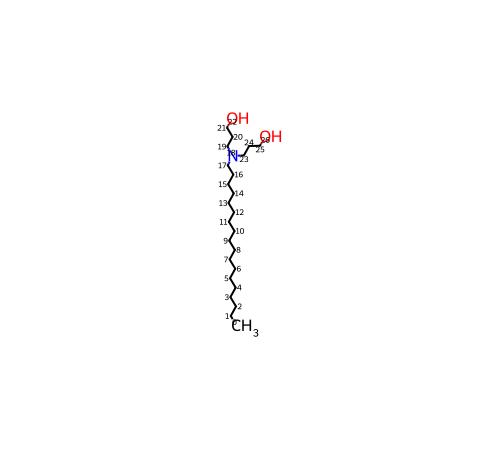 CCCCCCCCCCCCCCCCCCN(CCCO)CCCO